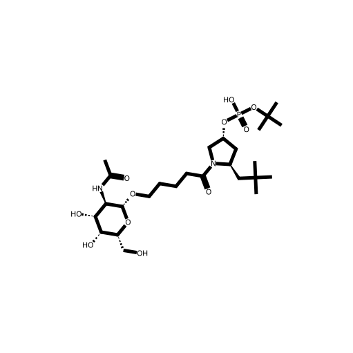 CC(=O)N[C@H]1[C@H](OCCCCC(=O)N2C[C@H](OP(=O)(O)OC(C)(C)C)C[C@H]2CC(C)(C)C)O[C@H](CO)[C@H](O)[C@@H]1O